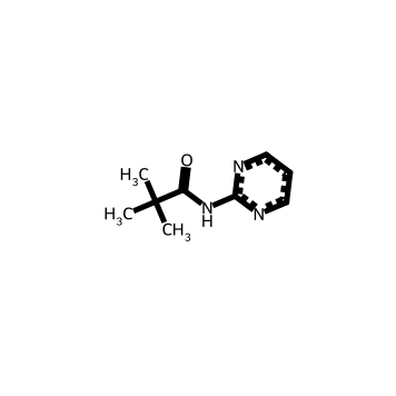 CC(C)(C)C(=O)Nc1ncccn1